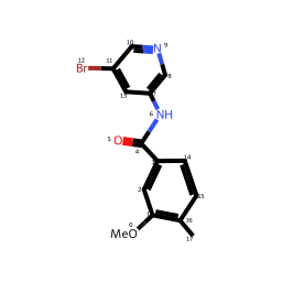 COc1cc(C(=O)Nc2cncc(Br)c2)ccc1C